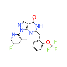 Cc1cc(F)cnc1-n1ncc2c(=O)[nH]c(Cc3ccccc3OC(F)(F)F)nc21